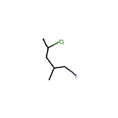 CC(Cl)CC(C)CI